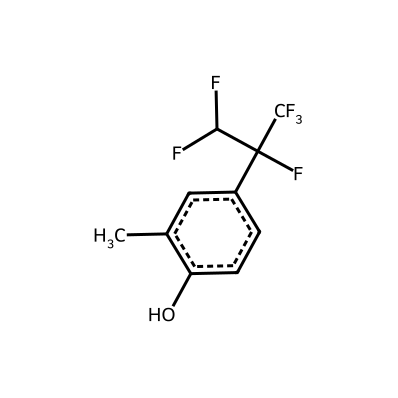 Cc1cc(C(F)(C(F)F)C(F)(F)F)ccc1O